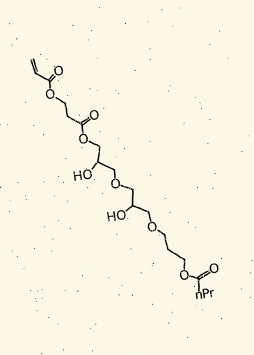 C=CC(=O)OCCC(=O)OCC(O)COCC(O)COCCCOC(=O)CCC